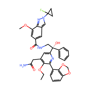 CCOc1c(CC(N)=O)cc([C@@](O)(CNC(=O)c2cc(OC)c3nn(C4(F)CC4)cc3c2)c2ccccc2)nc1-c1cccc2c1OCO2